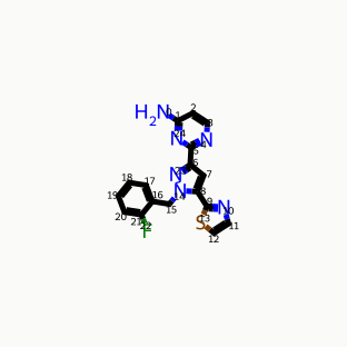 Nc1ccnc(-c2cc(-c3nccs3)n(Cc3ccccc3F)n2)n1